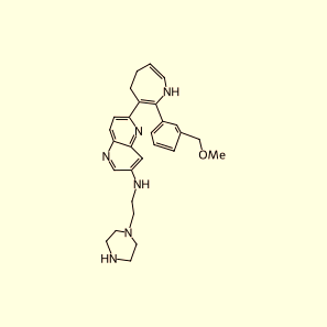 COCc1cccc(C2=C(c3ccc4ncc(NCCN5CCNCC5)cc4n3)CCC=CN2)c1